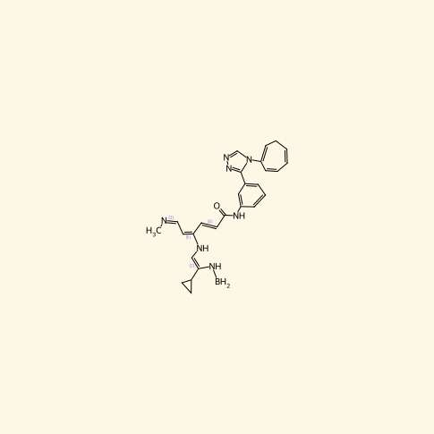 BN/C(=C\NC(/C=C/C(=O)Nc1cccc(-c2nncn2C2=CCC=CC=C2)c1)=C/C=N\C)C1CC1